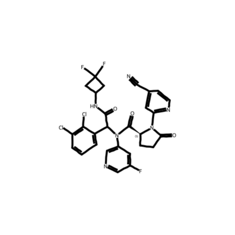 N#Cc1ccnc(N2C(=O)CC[C@H]2C(=O)N(c2cncc(F)c2)C(C(=O)NC2CC(F)(F)C2)c2cccc(Cl)c2Cl)c1